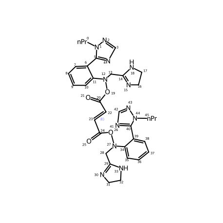 CCCn1ncnc1-c1ccccc1N(CC1=NCCN1)OC(=O)/C=C/C(=O)ON(CC1=NCCN1)c1ccccc1-c1ncnn1CCC